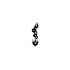 Cc1cccc(C)c1C(=O)OC1CCC2(C)C(=CCC3C4=CC=C(c5cccnc5)C4(C)CCC32)C1